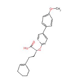 COc1ccc(-c2ccc(OC(CCC3=CCCCC3)C(=O)O)cc2)cc1